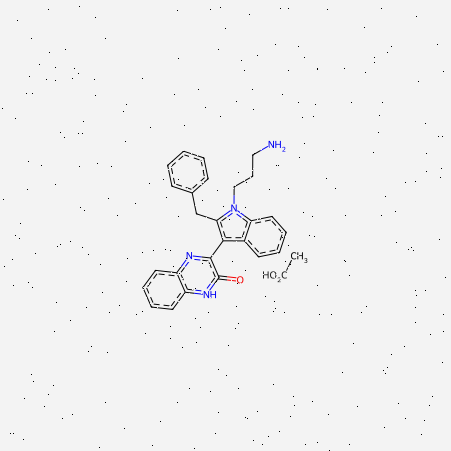 CC(=O)O.NCCCn1c(Cc2ccccc2)c(-c2nc3ccccc3[nH]c2=O)c2ccccc21